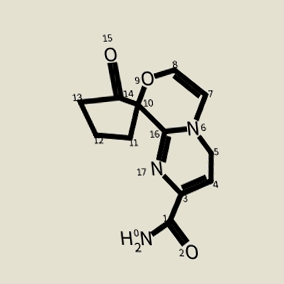 NC(=O)C1=CCN2C=COC3(CCCC3=O)C2=N1